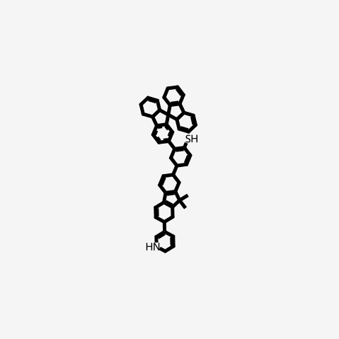 CC1(C)C2=C(C=CC(C3=CNCC=C3)C2)C2=C1CC(C1C=CC(S)=C(c3ccc4c(c3)C3(C5=C(C=CCC5)C5C=CC=CC53)C3C=CCCC43)C1)C=C2